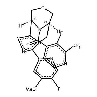 COc1cc(-c2nnc3n2C[C@@H]2COC[C@H]3N2C(=O)c2ccnc(C(F)(F)F)c2F)ncc1F